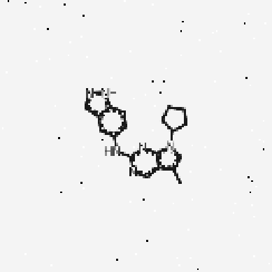 Cc1cn(C2CCCC2)c2nc(Nc3ccc4[nH]ncc4c3)ncc12